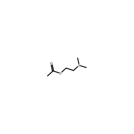 CC(=O)OCC[Si](C)C